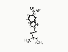 CCC(C)SSc1nc2cc([N+](=O)[O-])ccc2s1